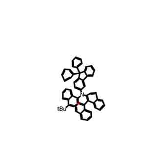 CC(C)(C)c1ccc(N(c2ccc3c(c2)-c2ccccc2C3(c2ccccc2)c2ccccc2)c2ccc3ccccc3c2-c2cccc3ccccc23)c2ccccc12